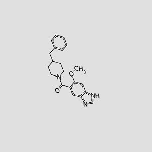 COc1cc2[nH]cnc2cc1C(=O)N1CCC(Cc2ccccc2)CC1